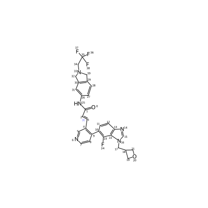 O=C(/C=C/c1cnccc1-c1ccc2ncn(CC3COC3)c2c1F)Nc1ccc2c(c1)CN(CC(F)(F)F)C2